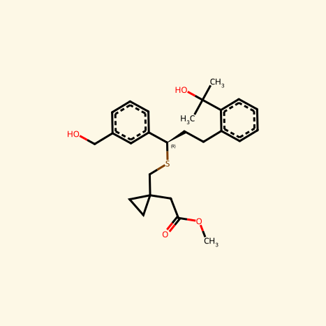 COC(=O)CC1(CS[C@H](CCc2ccccc2C(C)(C)O)c2cccc(CO)c2)CC1